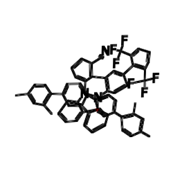 Cc1ccc(-c2ccc3c(c2)c2ccccc2n3-c2ccc(-c3c(C(F)(F)F)cccc3C(F)(F)F)cc2-c2c(C#N)cccc2-n2c3ccccc3c3cc(-c4ccc(C)cc4C)ccc32)c(C)c1